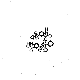 O=C1Nc2ccc(S(=O)(=O)N3CCC3)cc2C1=O.O=S=C(c1ccccc1)C1CCCN1S(=O)(=O)c1ccc2c(c1)C(=O)C(=O)N2